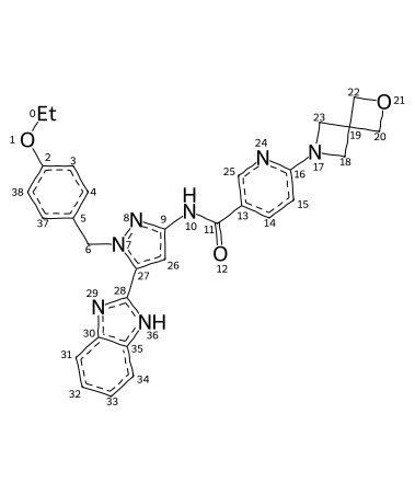 CCOc1ccc(Cn2nc(NC(=O)c3ccc(N4CC5(COC5)C4)nc3)cc2-c2nc3ccccc3[nH]2)cc1